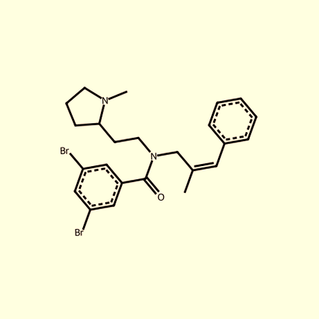 CC(=Cc1ccccc1)CN(CCC1CCCN1C)C(=O)c1cc(Br)cc(Br)c1